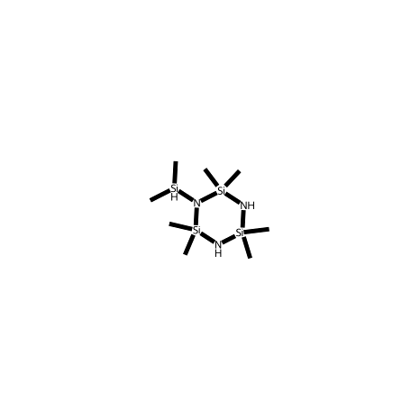 C[SiH](C)N1[Si](C)(C)N[Si](C)(C)N[Si]1(C)C